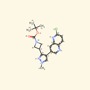 Cn1cc(-c2cnc3ccc(Cl)nc3c2)c(C2CN(C(=O)OC(C)(C)C)C2)n1